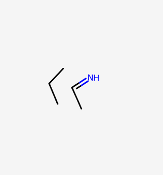 CC=N.CCC